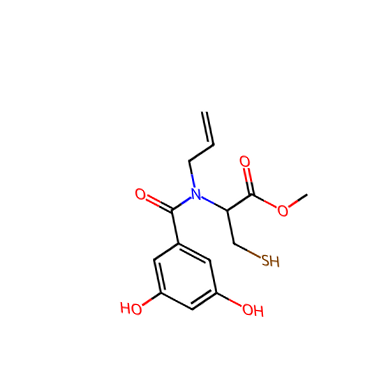 C=CCN(C(=O)c1cc(O)cc(O)c1)C(CS)C(=O)OC